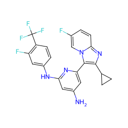 Nc1cc(Nc2ccc(C(F)(F)F)c(F)c2)nc(-c2c(C3CC3)nc3ccc(F)cn23)c1